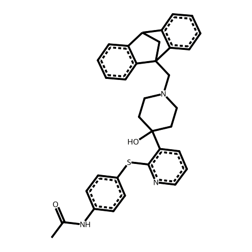 CC(=O)Nc1ccc(Sc2ncccc2C2(O)CCN(CC34CC(c5ccccc53)c3ccccc34)CC2)cc1